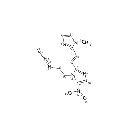 Cn1ccnc1C=Cc1ncc([N+](=O)[O-])n1CCN=[N+]=[N-]